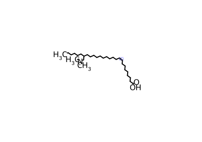 CCCCCCC(CCCCCCCCCC/C=C\CCCCCCCC(=O)O)CN(C)C